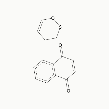 C1=COSCC1.O=C1C=CC(=O)c2ccccc21